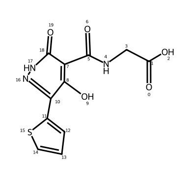 O=C(O)CNC(=O)c1c(O)c(-c2cccs2)n[nH]c1=O